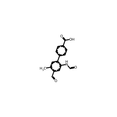 Cc1cc(-c2ccc(C(=O)O)cc2)c(NC=O)cc1[C]=O